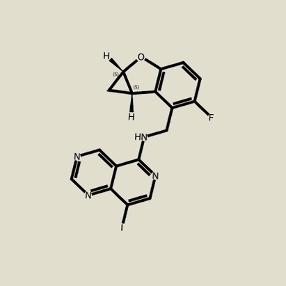 Fc1ccc2c(c1CNc1ncc(I)c3ncncc13)[C@@H]1C[C@@H]1O2